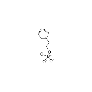 [O-][I+3]([O-])([O-])OCCc1ccccc1